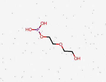 OCCOCCOP(O)O